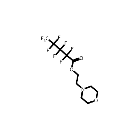 O=C(OCCN1CCOCC1)C(F)(F)C(F)(F)C(F)(F)C(F)(F)F